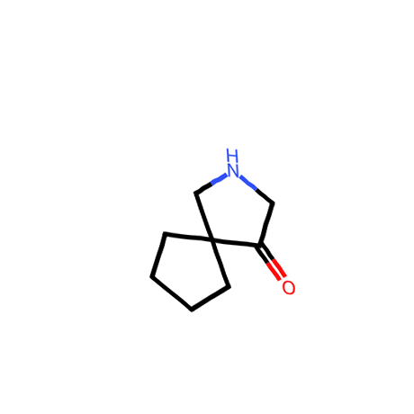 O=C1CNCC12CCCC2